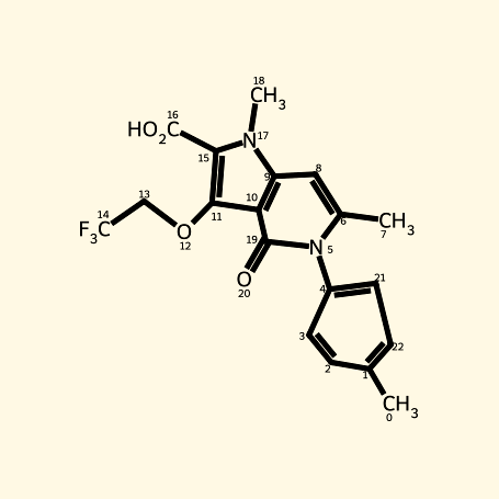 Cc1ccc(-n2c(C)cc3c(c(OCC(F)(F)F)c(C(=O)O)n3C)c2=O)cc1